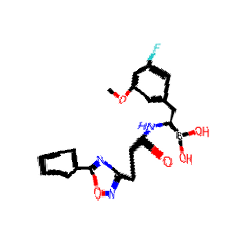 COc1cc(F)cc(C[C@H](NC(=O)CCc2noc(-c3ccccc3)n2)B(O)O)c1